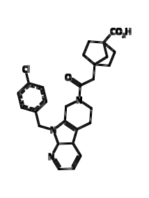 O=C(CC12CCC(C(=O)O)(CC1)C2)N1CCC2=C(C1)N(Cc1ccc(Cl)cc1)C1N=CC=CC21